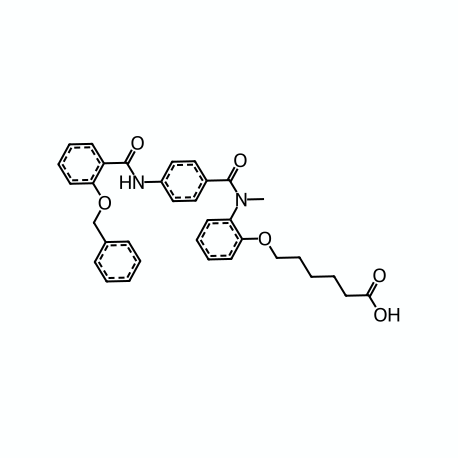 CN(C(=O)c1ccc(NC(=O)c2ccccc2OCc2ccccc2)cc1)c1ccccc1OCCCCCC(=O)O